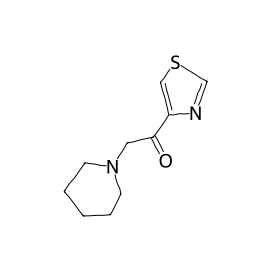 O=C(CN1CCCCC1)c1cscn1